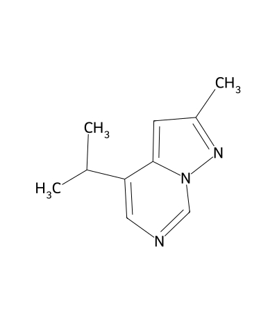 Cc1cc2c(C(C)C)cncn2n1